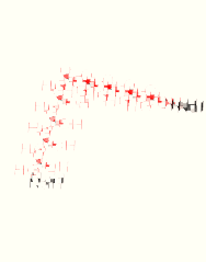 O=[Si](O)O.O=[Si](O)O.O=[Si](O)O.O=[Si](O)O.O=[Si](O)O.O=[Si](O)O.O=[Si](O)O.O=[Si](O)O.O=[Si](O)O.[NaH].[NaH].[NaH].[NaH].[NaH]